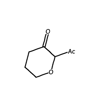 CC(=O)C1OCCCC1=O